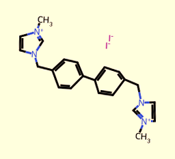 C[n+]1ccn(Cc2ccc(-c3ccc(Cn4cc[n+](C)c4)cc3)cc2)c1.[I-].[I-]